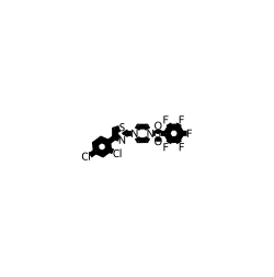 O=S(=O)(c1c(F)c(F)c(F)c(F)c1F)N1CCN(c2nc(-c3ccc(Cl)cc3Cl)cs2)CC1